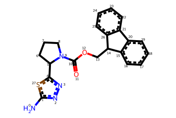 Nc1nnc(C2CCCN2C(=O)OCC2c3ccccc3-c3ccccc32)s1